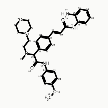 CN(CCN1CCOCC1)C(C(=O)Nc1ccc(OC(F)(F)F)cc1)c1ccc(C=CC(=O)Nc2ccccc2N)cc1